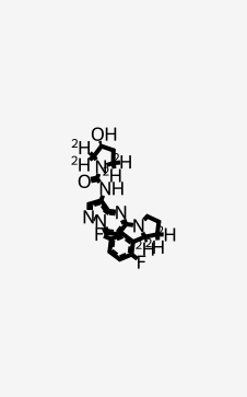 [2H]C1([2H])C[C@H](O)C([2H])([2H])N1C(=O)Nc1cnn2ccc(N3CCC([2H])([2H])[C@]3([2H])c3cc(F)ccc3F)nc12